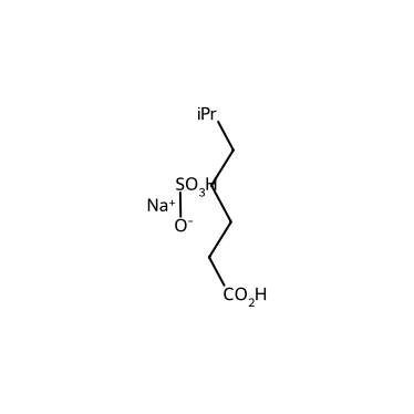 CC(C)CCCCC(=O)O.O=S(=O)([O-])O.[Na+]